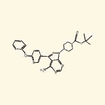 CC(C)(C)OC(=O)N1CCC(n2nc(-c3ccc(Oc4ccccc4)nc3)c3c(N)ncnc32)CC1